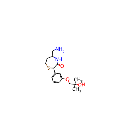 CC(C)(O)COc1cccc([C@H]2SCC[C@@H](CN)NC2=O)c1